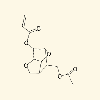 C=CC(=O)OC1C2OC3C(COC31)C2COC(C)=O